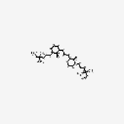 COC(C)(C)CCCC1CCCC(CCCC2CCCC(CCCC(C)(C)CO)C2=O)C1=O